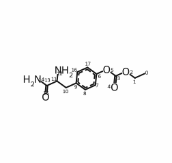 CCOC(=O)Oc1ccc(CC(N)C(N)=O)cc1